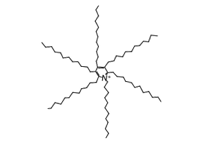 CCCCCCCCCCCCc1c(CCCCCCCCCCCC)c(CCCCCCCCCCCC)[n+](CCCCCCCCCCCC)c(CCCCCCCCCCCC)c1CCCCCCCCCCCC